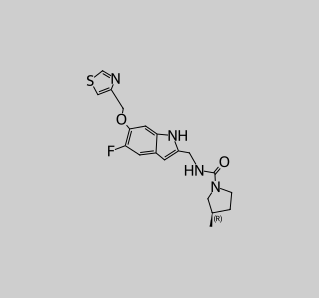 C[C@@H]1CCN(C(=O)NCc2cc3cc(F)c(OCc4cscn4)cc3[nH]2)C1